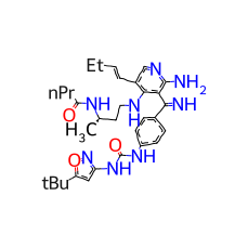 CC/C=C/c1cnc(N)c(C(=N)c2ccc(NC(=O)Nc3cc(C(C)(C)C)on3)cc2)c1NCC[C@@H](C)NC(=O)CCC